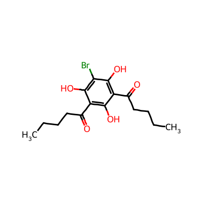 CCCCC(=O)c1c(O)c(Br)c(O)c(C(=O)CCCC)c1O